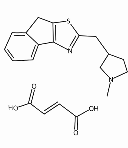 CN1CCC(Cc2nc3c(s2)Cc2ccccc2-3)C1.O=C(O)C=CC(=O)O